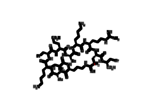 CC[C@H](C)[C@H](NC(=O)[C@H](CCC(=O)O)NC(=O)[C@H](CC(C)C)NC(=O)[C@H](CCCCN)NC(=O)[C@@H](NC(=O)[C@H](CCCNC(=N)N)NC(=O)[C@@H](N)CO)[C@@H](C)CC)C(=O)N[C@@H](CCCCN)C(=O)N[C@@H](CCCNC(=N)N)C(=O)N[C@@H](CS)C(=O)N[C@@H](CC(C)C)C(=O)O